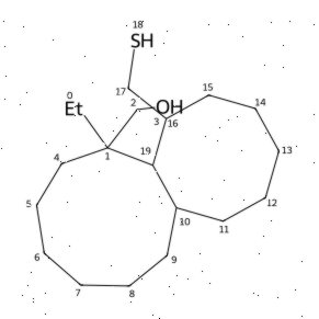 CCC1(CO)CCCCCCC2CCCCCC(CS)C21